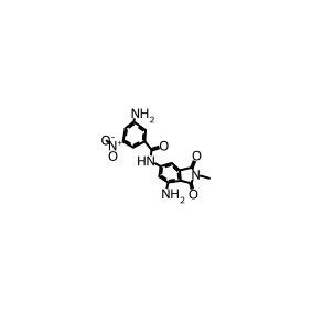 CN1C(=O)c2cc(NC(=O)c3cc(N)cc([N+](=O)[O-])c3)cc(N)c2C1=O